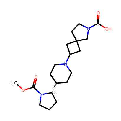 COC(=O)N1CCC[C@H]1C1CCN(C2CC3(CCN(C(=O)O)C3)C2)CC1